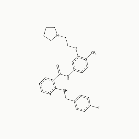 O=C(Nc1ccc(C(F)(F)F)c(OCCN2CCCC2)c1)c1cccnc1NCc1ccc(F)cc1